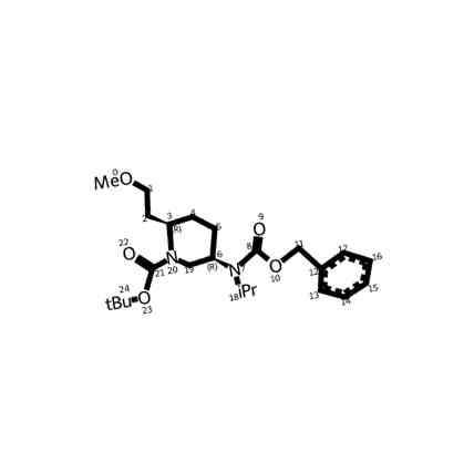 COCC[C@H]1CC[C@@H](N(C(=O)OCc2ccccc2)C(C)C)CN1C(=O)OC(C)(C)C